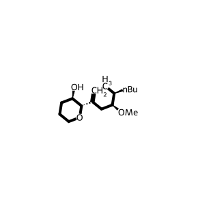 C=C(C[C@H](OC)[C@@H](C)CCCC)[C@@H]1OCCC[C@H]1O